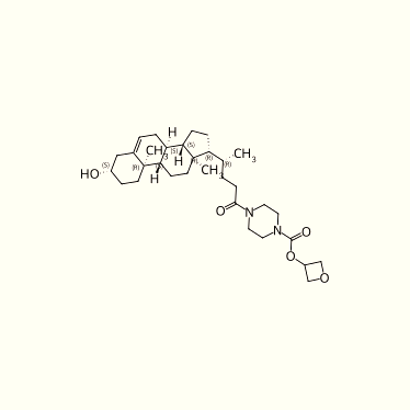 C[C@H](CCC(=O)N1CCN(C(=O)OC2COC2)CC1)[C@H]1CC[C@H]2[C@@H]3CC=C4C[C@@H](O)CC[C@]4(C)[C@H]3CC[C@]12C